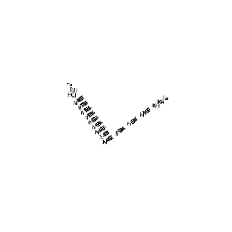 C#N.C#N.C#N.C#N.C#N.C#N.C#N.C#N.C#N.C#N.C#N.C#N.Cl.[Fe].[Fe].[KH].[KH].[KH]